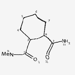 CNC(=O)C1CCCCC1C(N)=O